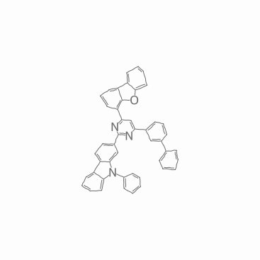 c1ccc(-c2cccc(-c3cc(-c4cccc5c4oc4ccccc45)nc(-c4ccc5c6ccccc6n(-c6ccccc6)c5c4)n3)c2)cc1